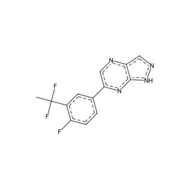 CC(F)(F)c1cc(-c2cnc3cn[nH]c3n2)ccc1F